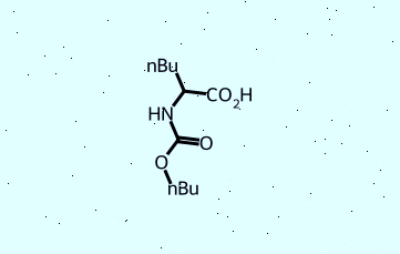 CCCCOC(=O)NC(CCCC)C(=O)O